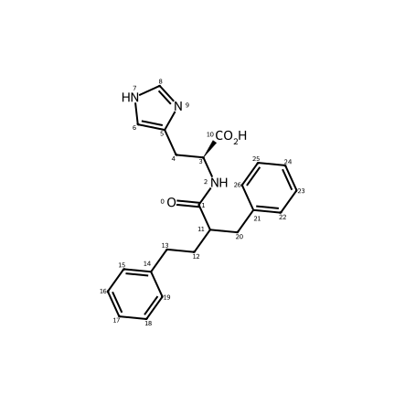 O=C(N[C@@H](Cc1c[nH]cn1)C(=O)O)C(CCc1ccccc1)Cc1ccccc1